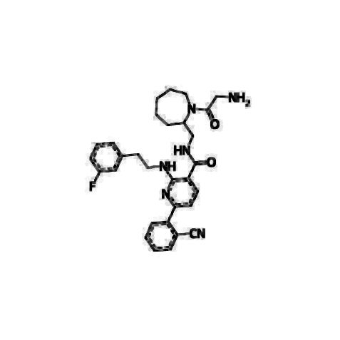 N#Cc1ccccc1-c1ccc(C(=O)NCC2CCCCCN2C(=O)CN)c(NCCc2cccc(F)c2)n1